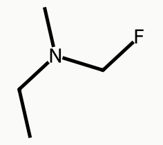 CCN(C)CF